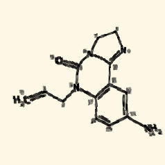 C=CCN1C(=O)N2CCN=C2c2cc(N)ccc21